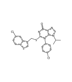 CC(C)n1cnc2c(=O)nc(SCc3csc4ccc(Cl)cc34)n(-c3ccc(Cl)cc3)c21